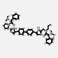 CCCN(Cc1ncc(-c2ccc(-c3ccc(-c4cnc([C@@H]5CCCN5C(=O)[C@@H](c5ccccc5)N(C)C)[nH]4)cc3)cc2)[nH]1)C(=O)[C@@H](c1ccccc1F)N(C)C